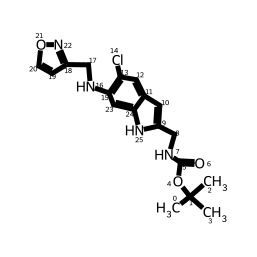 CC(C)(C)OC(=O)NCc1cc2cc(Cl)c(NCc3ccon3)cc2[nH]1